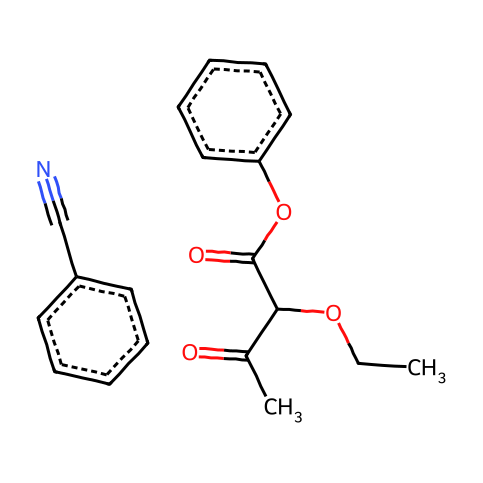 CCOC(C(C)=O)C(=O)Oc1ccccc1.N#Cc1ccccc1